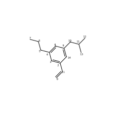 C=[C]c1cc(CCC)cc(CC(C)C)c1